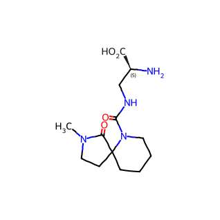 CN1CCC2(CCCCN2C(=O)NC[C@H](N)C(=O)O)C1=O